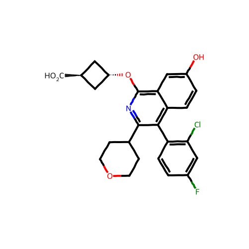 O=C(O)[C@H]1C[C@H](Oc2nc(C3CCOCC3)c(-c3ccc(F)cc3Cl)c3ccc(O)cc23)C1